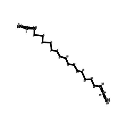 N=[N+]=NCCCCCCCCCCCCCCCN=[N+]=N